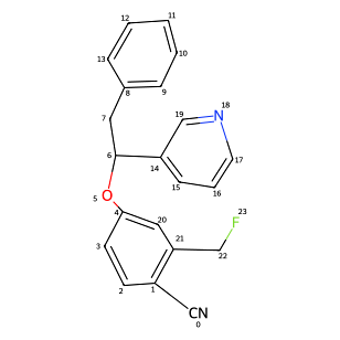 N#Cc1ccc(OC(Cc2ccccc2)c2cccnc2)cc1CF